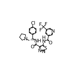 O=C(Nc1snnc1C(=O)N[C@H](CN1CCCC1)c1ccc(Cl)cc1)c1cncc(C(F)(F)F)c1